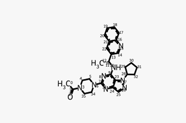 CC(=O)N1CCN(c2nc(N[C@H](C)c3cnc4ccccc4c3)c3c(cnn3C3CCCC3)n2)CC1